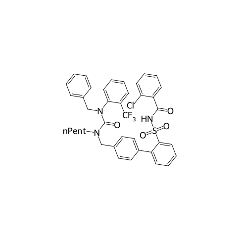 CCCCCN(Cc1ccc(-c2ccccc2S(=O)(=O)NC(=O)c2ccccc2Cl)cc1)C(=O)N(Cc1ccccc1)c1ccccc1C(F)(F)F